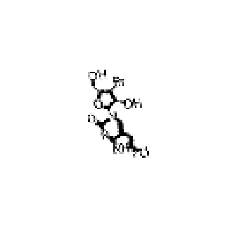 Nc1nc(=O)n([C@@H]2O[C@H](CO)[C@H](Br)[C@H]2O)cc1C=CCl